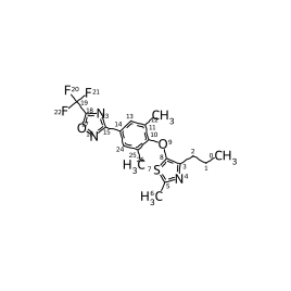 CCCc1nc(C)sc1Oc1c(C)cc(-c2noc(C(F)(F)F)n2)cc1C